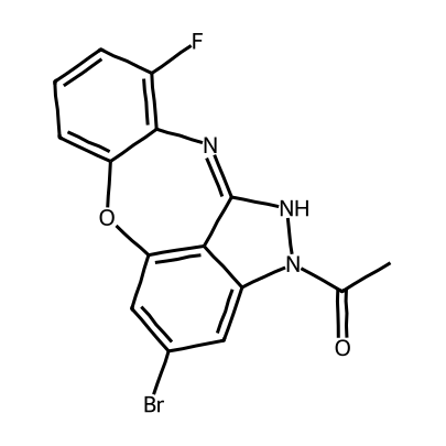 CC(=O)N1NC2=Nc3c(F)cccc3Oc3cc(Br)cc1c32